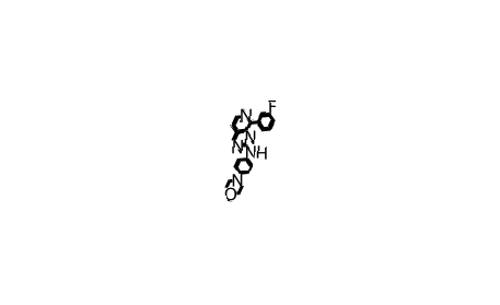 Fc1cccc(-c2nccc3cnc(Nc4ccc(N5CCOCC5)cc4)nc23)c1